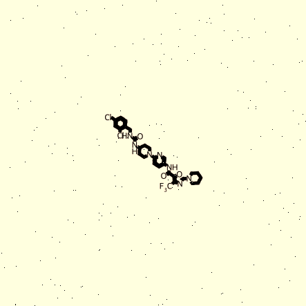 O=C(NCc1ccc(Cl)cc1Cl)NC1CCN(c2ccc(NC(=O)c3oc(N4CCCCC4)nc3C(F)(F)F)cn2)CC1